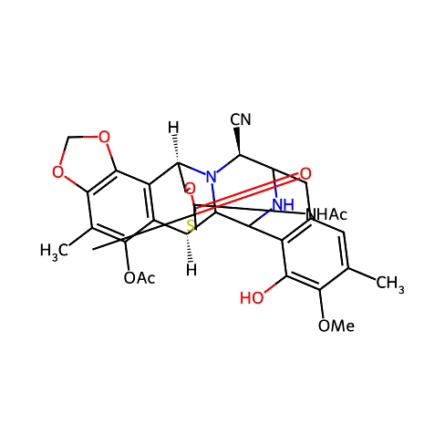 COc1c(C)cc2c(c1O)C1NC(C2)[C@H](C#N)N2C1[C@@H]1SCC(NC(C)=O)C(=O)OC[C@H]2c2c3c(c(C)c(OC(C)=O)c21)OCO3